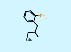 CC(Cc1ccccc1P)CC(C)(C)C